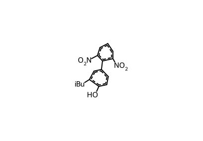 CCC(C)c1cc(-c2c([N+](=O)[O-])cccc2[N+](=O)[O-])ccc1O